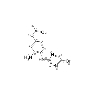 CC(=O)Oc1ccc(Nc2cnc(Br)cn2)c(N)c1